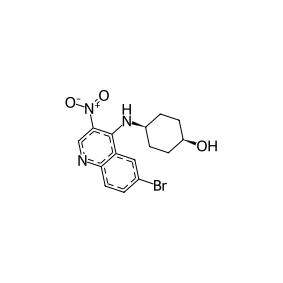 O=[N+]([O-])c1cnc2ccc(Br)cc2c1N[C@H]1CC[C@@H](O)CC1